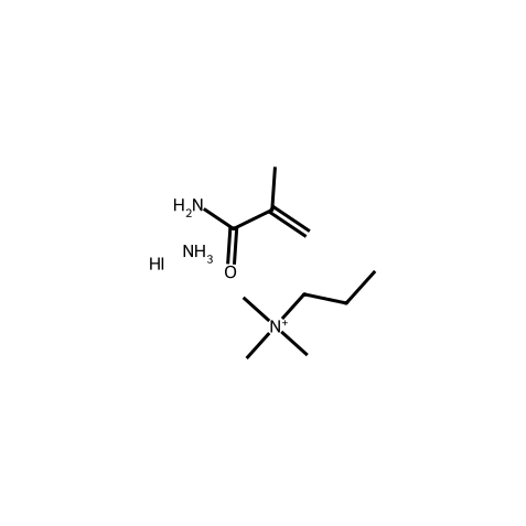 C=C(C)C(N)=O.CCC[N+](C)(C)C.I.N